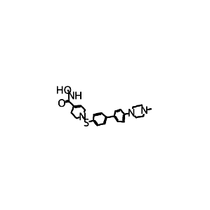 CN1CCN(c2ccc(-c3ccc(SN4CC=C(C(=O)NO)CC4)cc3)cc2)CC1